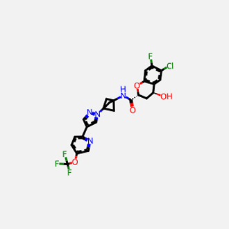 O=C(NC12CC(n3cc(-c4ccc(OC(F)(F)F)cn4)cn3)(C1)C2)[C@H]1C[C@H](O)c2cc(Cl)c(F)cc2O1